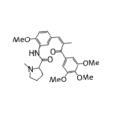 COc1ccc(C=C(C)C(=O)c2cc(OC)c(OC)c(OC)c2)cc1NC(=O)C1CCCN1C